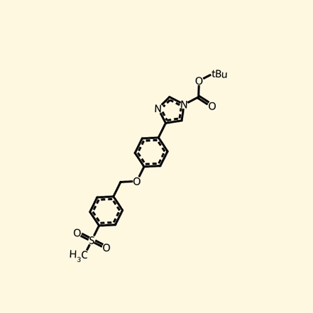 CC(C)(C)OC(=O)n1cnc(-c2ccc(OCc3ccc(S(C)(=O)=O)cc3)cc2)c1